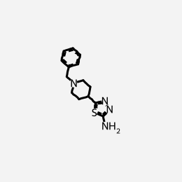 Nc1nnc(C2CCN(Cc3ccccc3)CC2)s1